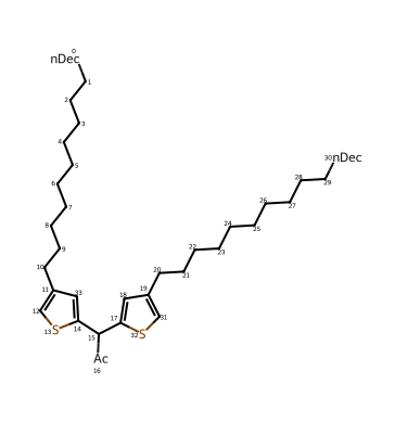 CCCCCCCCCCCCCCCCCCCCc1csc(C(C(C)=O)c2cc(CCCCCCCCCCCCCCCCCCCC)cs2)c1